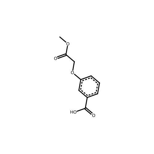 COC(=O)COc1cccc(C(=O)O)c1